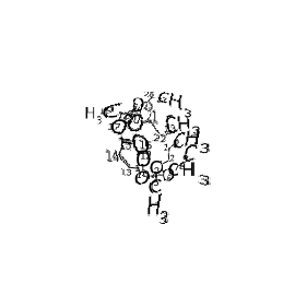 CCCOC(C)(OCCC)OC(=O)/C=C\C(=O)OC(C)(OCCC)OCCC